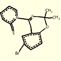 CC1(C)N=C(n2ccccc2=S)c2cc(Br)ccc2O1